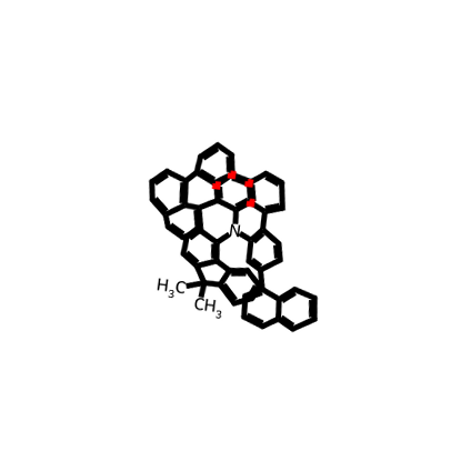 CC1(C)c2ccccc2-c2c(N(c3cc(-c4cccc5ccccc45)ccc3-c3ccccc3)c3ccccc3-c3cccc4cccc(-c5ccccc5)c34)cccc21